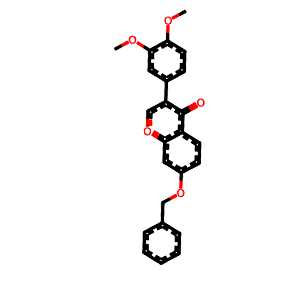 COc1ccc(-c2coc3cc(OCc4ccccc4)ccc3c2=O)cc1OC